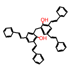 Oc1c(C=Cc2ccccc2)cc(C=Cc2ccccc2)cc1Cc1cc(C=Cc2ccccc2)cc(C=Cc2ccccc2)c1O